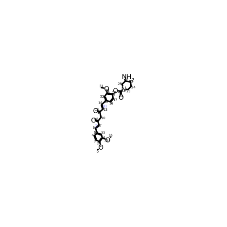 COc1ccc(/C=C/C(=O)CC(=O)/C=C/c2ccc(OC(=O)N3CCCC(N)C3)c(OC)c2)cc1OC